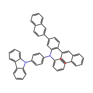 c1ccc(N(c2ccc(-n3c4ccccc4c4ccccc43)cc2)c2cc(-c3ccc4ccccc4c3)ccc2-c2ccc3ccccc3c2)cc1